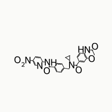 O=C1COc2cc(C(=O)N(Cc3ccc(C(=O)Nc4ccc([N+](=O)[O-])cn4)cc3)C3CC3)ccc2N1